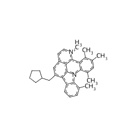 Cc1cc(C)c2c(c1C)c1c3c(cc[n+]1C)cc(CC1CCCC1)c1c4cccc(C)c4n2c13